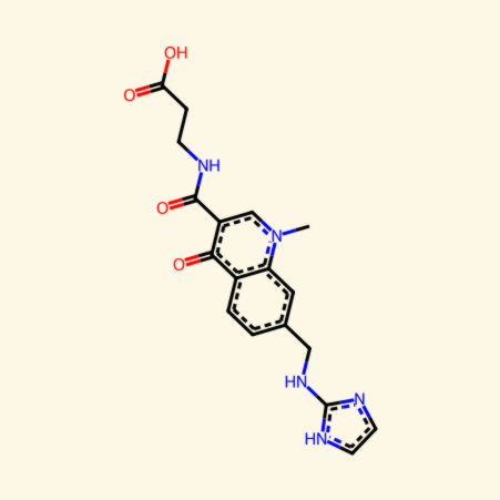 Cn1cc(C(=O)NCCC(=O)O)c(=O)c2ccc(CNc3ncc[nH]3)cc21